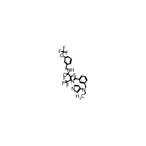 CCN(Cc1cccc(-c2nc(C(F)(F)F)c(C(=O)NCc3cccc(OC(F)(F)F)c3)s2)c1)c1ccncc1